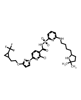 CC1(C)CCC(CCCCNc2cccc(S(=O)(=O)NC(=O)c3ccc(-n4ccc(OCCC5CC5C(F)(F)F)n4)nc3Cl)n2)N1